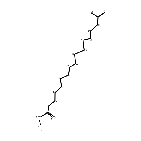 [2H]OC(=O)CCCCCCCCCCCCCCC(C)C